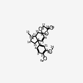 COc1ccc(C23C=CC4(CC2N(C)CC3)OCC(=O)O4)cc1OC